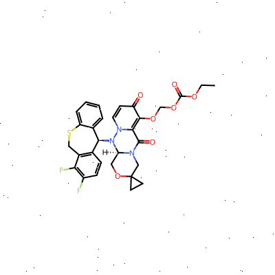 CCOC(=O)OCOc1c2n(ccc1=O)N([C@@H]1c3ccccc3SCc3c1ccc(F)c3F)[C@@H]1COC3(CC3)CN1C2=O